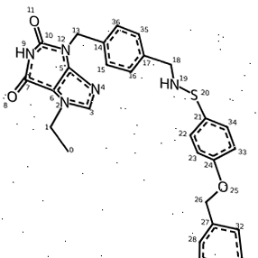 CCn1cnc2c1c(=O)[nH]c(=O)n2Cc1ccc(CNSc2ccc(OCc3ccccc3)cc2)cc1